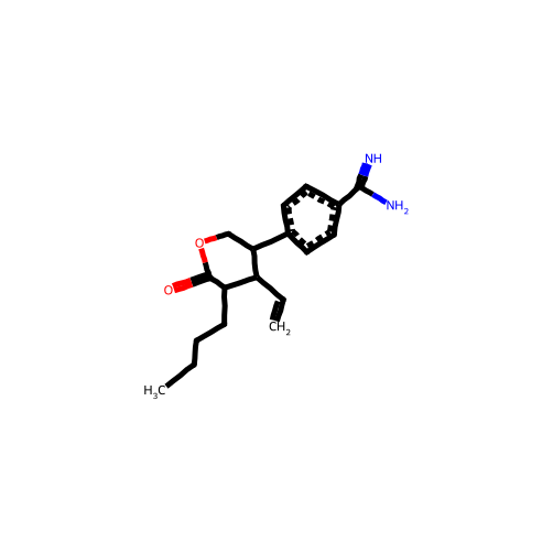 C=CC1C(CCCC)C(=O)OCC1c1ccc(C(=N)N)cc1